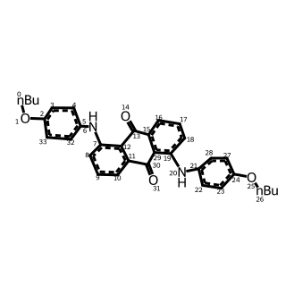 CCCCOc1ccc(Nc2cccc3c2C(=O)c2cccc(Nc4ccc(OCCCC)cc4)c2C3=O)cc1